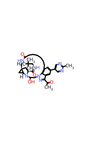 CC(=O)c1nn2c3c(cc(-c4cnc(C)nc4)cc13)CCCCCCC(=O)NC[C@@]13C[C@@H](C(=O)NCC(C)(C)C)N(C(O)C2)[C@@H]1C3